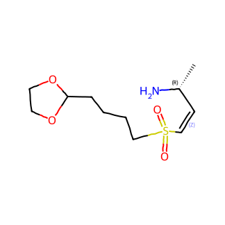 C[C@@H](N)/C=C\S(=O)(=O)CCCCC1OCCO1